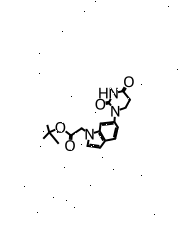 CC(C)(C)OC(=O)Cn1ccc2ccc(N3CCC(=O)NC3=O)cc21